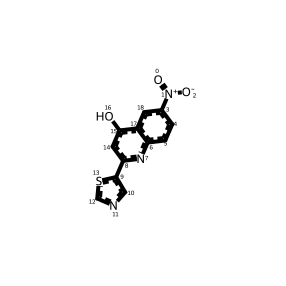 O=[N+]([O-])c1ccc2nc(-c3cncs3)cc(O)c2c1